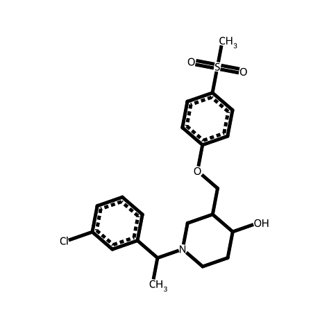 CC(c1cccc(Cl)c1)N1CCC(O)C(COc2ccc(S(C)(=O)=O)cc2)C1